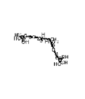 C[C@H](CCCCNC(=O)COCCOCCOCCO[C@H]1C[C@@H](O)[C@@H](O)[C@@H](CO)O1)NC(=O)COCCOCCOCCO[C@H]1C[C@@H](O)[C@@H](O)[C@@H](CO)O1